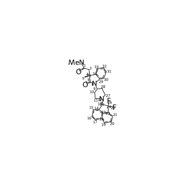 CNC(=O)C[C@@]1(C)C(=O)N(C2CCN([C@@H]3c4cccc5cccc(c45)C3(F)F)CC2)c2ccccc21